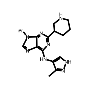 Cc1n[nH]cc1Nc1nc(C2CCCNC2)nc2c1ncn2C(C)C